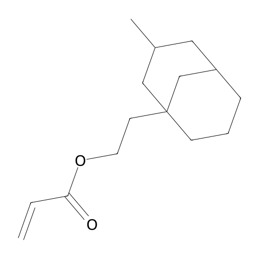 C=CC(=O)OCCC12CCCC(CC(C)C1)C2